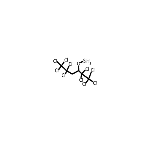 [SiH3]OC(CC(Cl)(Cl)C(Cl)(Cl)Cl)C(Cl)(Cl)C(Cl)(Cl)Cl